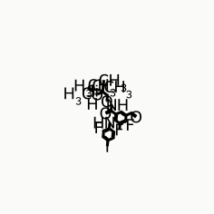 C[SiH](C)OC(CONC(=O)c1cc(C=O)c(F)c(F)c1Nc1ccc(I)cc1F)C(C)(C)C